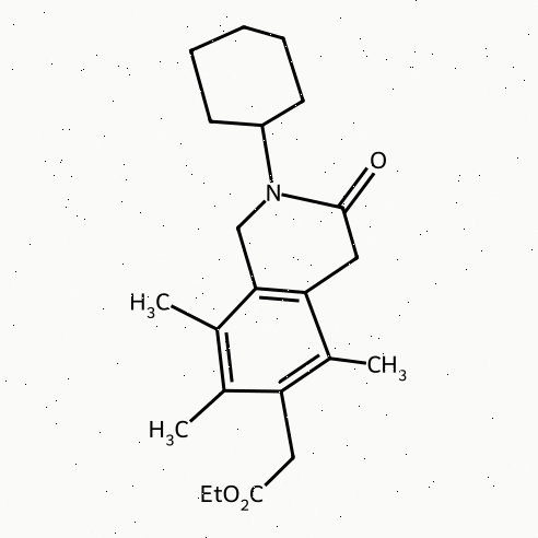 CCOC(=O)Cc1c(C)c(C)c2c(c1C)CC(=O)N(C1CCCCC1)C2